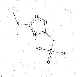 CSc1nc(CP(=O)(O)O)co1